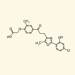 Cc1cc(C(=O)CCc2nc(-c3ccc(Cl)cc3O)oc2C)ccc1OCC(=O)O